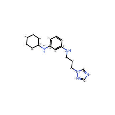 c1cc(NCCCn2cncn2)cc(NC2CCCCC2)c1